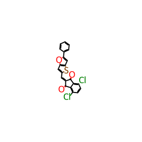 O=C1C(=Cc2cc3oc(-c4ccccc4)cc3s2)C(=O)c2c(Cl)ccc(Cl)c21